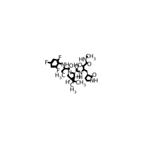 CCC(Nc1c(F)cc(F)cc1F)C(=O)N1C[C@H]2[C@@H]([C@H]1C(=O)NC(C[C@@H]1CCNC1=O)C(O)C(=O)NC)C2(C)C